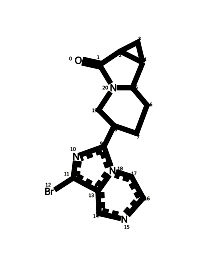 O=C1C2CC2C2CCC(c3nc(Br)c4cnccn34)CN12